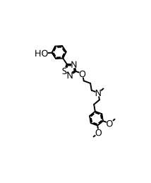 COc1ccc(CCN(C)CCCOc2nsc(-c3cccc(O)c3)n2)cc1OC